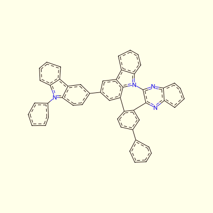 c1ccc(-c2ccc3c(c2)-c2nc4ccccc4nc2-n2c4ccccc4c4cc(-c5ccc6c(c5)c5ccccc5n6-c5ccccc5)cc-3c42)cc1